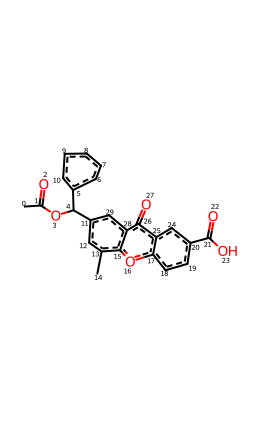 CC(=O)OC(c1ccccc1)c1cc(C)c2oc3ccc(C(=O)O)cc3c(=O)c2c1